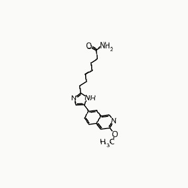 COc1cc2ccc(-c3cnc(CCCCCCC(N)=O)[nH]3)cc2cn1